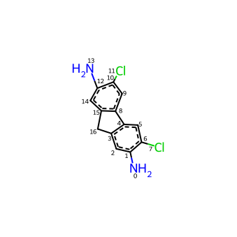 Nc1cc2c(cc1Cl)-c1cc(Cl)c(N)cc1C2